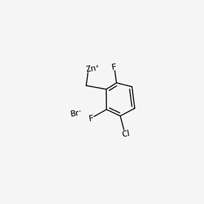 Fc1ccc(Cl)c(F)c1[CH2][Zn+].[Br-]